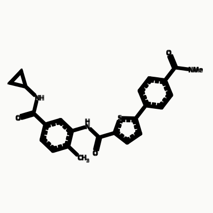 CNC(=O)c1ccc(-c2ccc(C(=O)Nc3cc(C(=O)NC4CC4)ccc3C)s2)cc1